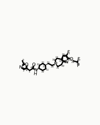 Cc1ncc(CC(=O)N[C@H]2CC[C@H](CCN3CCc4cc(F)c(OCC(F)F)nc4CC3)CC2)o1